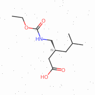 CCOC(=O)NC[C@H](CC(=O)O)CC(C)C